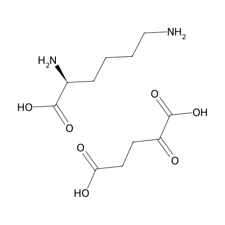 NCCCC[C@H](N)C(=O)O.O=C(O)CCC(=O)C(=O)O